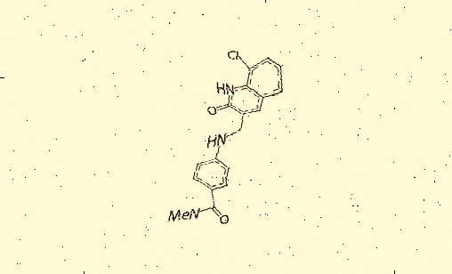 CNC(=O)c1ccc(NCc2cc3cccc(Cl)c3[nH]c2=O)cc1